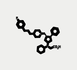 O=C(O)CN(C1CCCCC1)C1C[C@H](CN2CCC(CCCc3ccc(F)cc3)CC2)[C@@H](c2ccccc2)C1